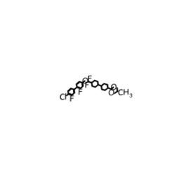 CC1COC(C2CCC(C3CCC(C(F)(F)Oc4ccc(-c5ccc(Cl)c(F)c5)c(F)c4)CC3)CC2)OC1